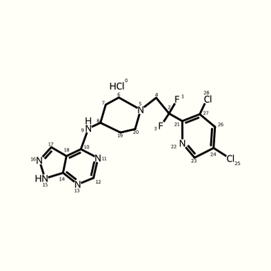 Cl.FC(F)(CN1CCC(Nc2ncnc3[nH]ncc23)CC1)c1ncc(Cl)cc1Cl